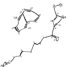 CCCCCCCCCCCCCCCCCC(=O)c1c[nH]c(OCC)n1.c1ccc2ncccc2c1